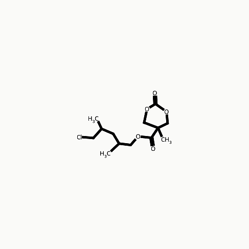 CC(CCl)CC(C)COC(=O)C1(C)COC(=O)OC1